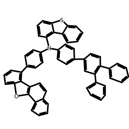 c1ccc(-c2ccc(-c3ccc(N(c4ccc(-c5cccc6oc7c8ccccc8ccc7c56)cc4)c4cccc5sc6ccccc6c45)cc3)cc2-c2ccccc2)cc1